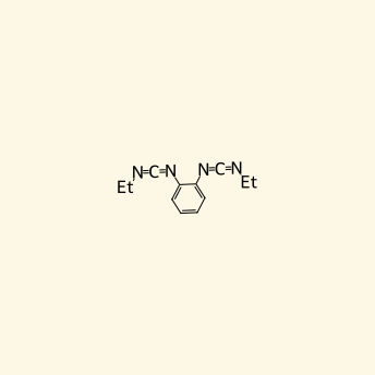 CCN=C=Nc1ccccc1N=C=NCC